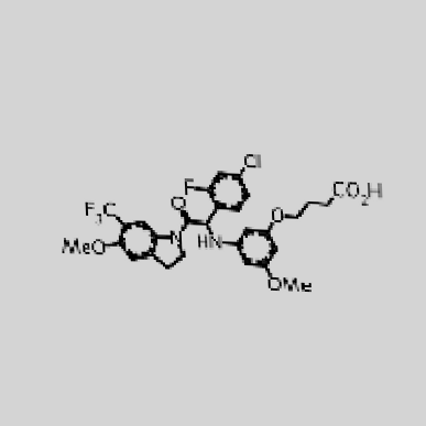 COc1cc(NC(C(=O)N2CCc3cc(OC)c(C(F)(F)F)cc32)c2ccc(Cl)cc2F)cc(OCCCC(=O)O)c1